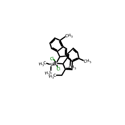 CCC1=Cc2c(C)cccc2[CH]1[Zr]([Cl])([Cl])([CH]1C(CC)=Cc2c(C)cccc21)[SiH](C)C